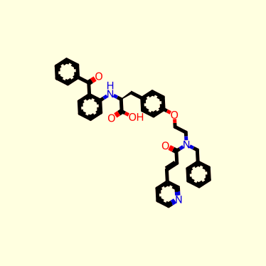 O=C(c1ccccc1)c1ccccc1N[C@@H](Cc1ccc(OCCN(Cc2ccccc2)C(=O)C=Cc2cccnc2)cc1)C(=O)O